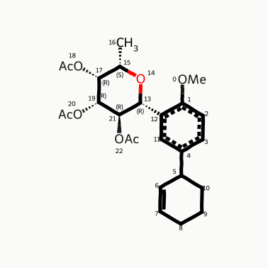 COc1ccc(C2C=CCCC2)cc1[C@H]1O[C@@H](C)[C@@H](OC(C)=O)[C@@H](OC(C)=O)[C@@H]1OC(C)=O